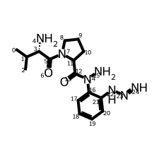 CC(C)[C@H](N)C(=O)N1CCCC1C(=O)N(N)c1ccccc1NN=N